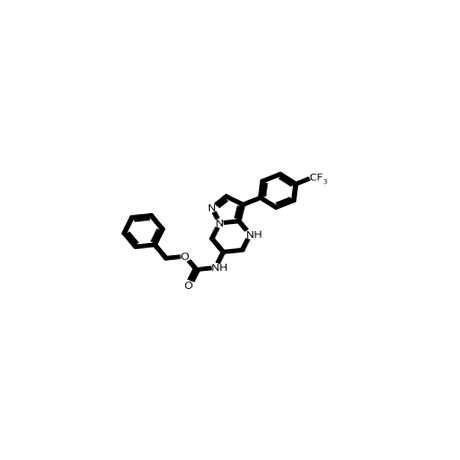 O=C(NC1CNc2c(-c3ccc(C(F)(F)F)cc3)cnn2C1)OCc1ccccc1